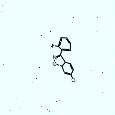 [O]C1=IC2ON=C(c3ccccc3F)C2C=C1